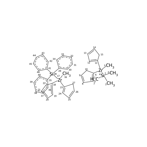 C[Si](C)(C)[Zr]([CH3])([C]1=CC=CC1)[C]1=CC=CC1.[CH3][Zr]([C]1=CC=CC1)([C]1=CC=CC1)[Si](c1ccccc1)(c1ccccc1)c1ccccc1